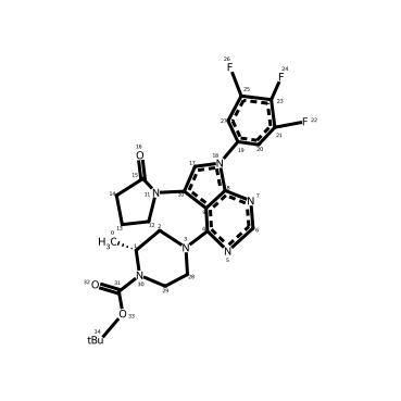 C[C@@H]1CN(c2ncnc3c2c(N2CCCC2=O)cn3-c2cc(F)c(F)c(F)c2)CCN1C(=O)OC(C)(C)C